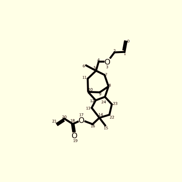 C=CCOCC1(C)CC2CC(C1)C1CC(C)(COC(=O)C=C)CCC21